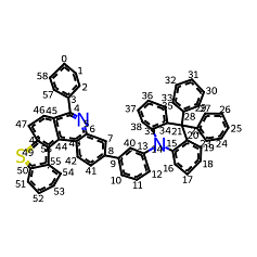 c1ccc(-c2nc3cc(-c4cccc(N5c6ccccc6C(c6ccccc6)(c6ccccc6)c6ccccc65)c4)ccc3c3c2ccc2sc4ccccc4c23)cc1